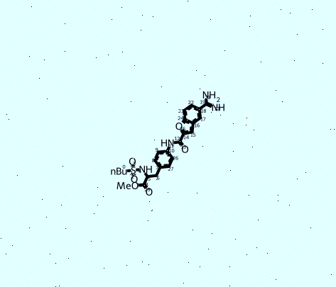 CCCCS(=O)(=O)NC(Cc1ccc(NC(=O)c2cc3cc(C(=N)N)ccc3o2)cc1)C(=O)OC